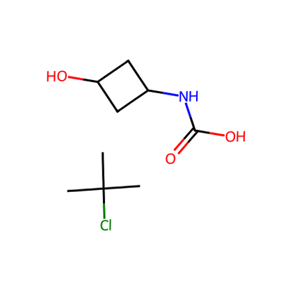 CC(C)(C)Cl.O=C(O)NC1CC(O)C1